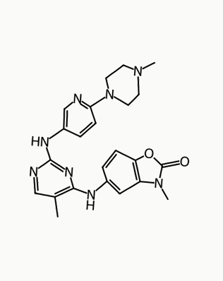 Cc1cnc(Nc2ccc(N3CCN(C)CC3)nc2)nc1Nc1ccc2oc(=O)n(C)c2c1